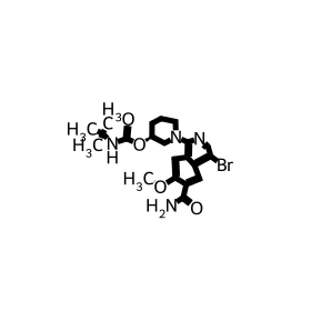 COc1cc2c(N3CCC[C@H](OC(=O)NC(C)(C)C)C3)ncc(Br)c2cc1C(N)=O